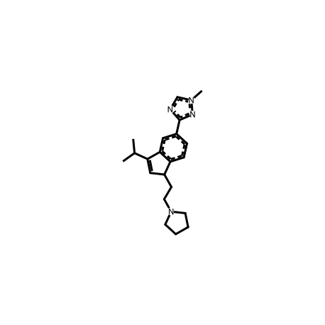 CC(C)C1=CC(CCN2CCCC2)c2ccc(-c3ncn(C)n3)cc21